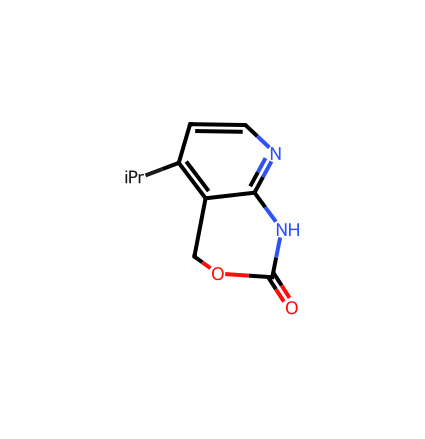 CC(C)c1ccnc2c1COC(=O)N2